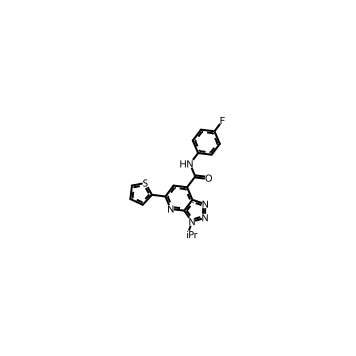 CC(C)n1nnc2c(C(=O)Nc3ccc(F)cc3)cc(-c3cccs3)nc21